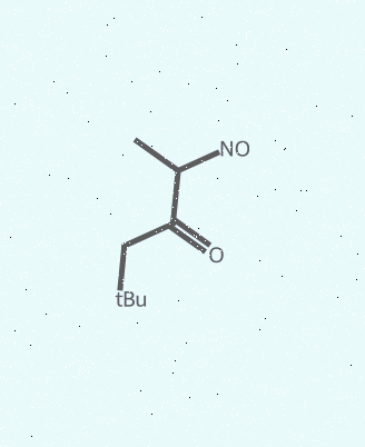 CC(N=O)C(=O)CC(C)(C)C